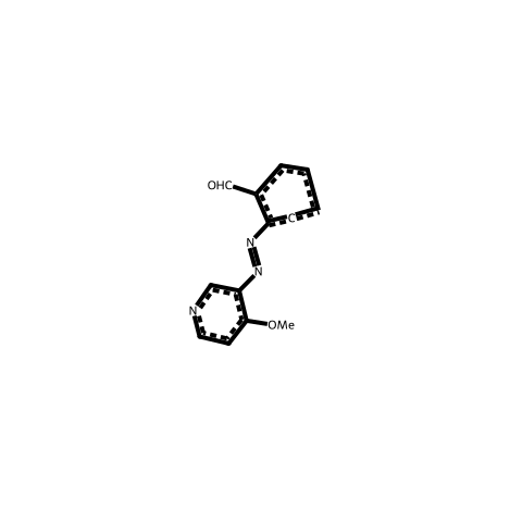 COc1ccncc1N=Nc1ccccc1C=O